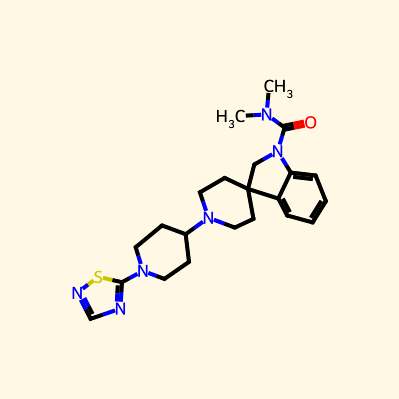 CN(C)C(=O)N1CC2(CCN(C3CCN(c4ncns4)CC3)CC2)c2ccccc21